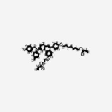 C=CC(=O)OCCCCCCCOc1ccc(C(=Cc2ccc(N(Cc3ccc(C)cc3)c3ccc(C)cc3)cc2)c2ccc(OCCOC(=O)C=C)cc2)cc1